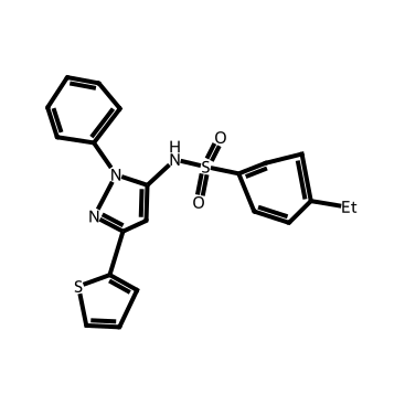 CCc1ccc(S(=O)(=O)Nc2cc(-c3cccs3)nn2-c2ccccc2)cc1